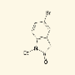 CCN1C(=O)Cc2cc(Br)ccc21